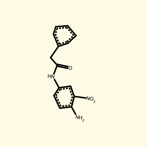 Nc1ccc(NC(=O)Cc2ccccc2)cc1[N+](=O)[O-]